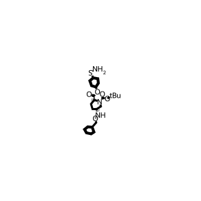 CC(C)(C)OC(=O)N1C[C@H](NOCc2ccccc2)CC[C@H]1C(=O)Oc1ccc(SN)cc1